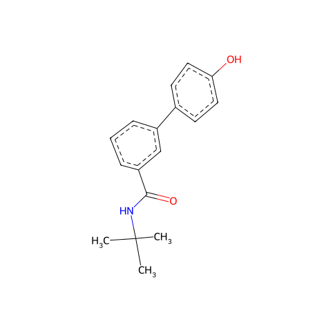 CC(C)(C)NC(=O)c1cccc(-c2ccc(O)cc2)c1